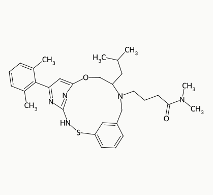 Cc1cccc(C)c1-c1cc2nc(n1)NSc1cccc(c1)CN(CCCC(=O)N(C)C)C(CC(C)C)CO2